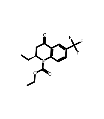 CCOC(=O)N1c2ccc(C(F)(F)F)cc2C(=O)C[C@@H]1CC